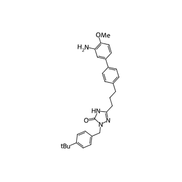 COc1ccc(-c2ccc(CCCc3nn(Cc4ccc(C(C)(C)C)cc4)c(=O)[nH]3)cc2)cc1N